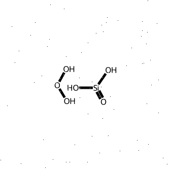 O=[Si](O)O.OOO